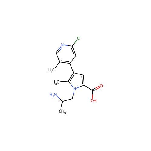 Cc1cnc(Cl)cc1-c1cc(C(=O)O)n(CC(C)N)c1C